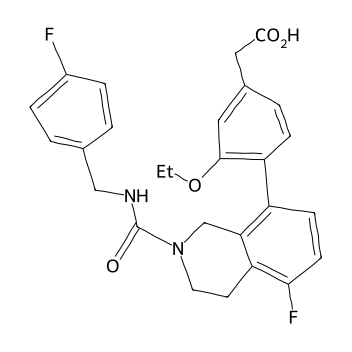 CCOc1cc(CC(=O)O)ccc1-c1ccc(F)c2c1CN(C(=O)NCc1ccc(F)cc1)CC2